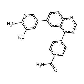 NC(=O)c1ccc(-c2ncnc3ccc(-c4cnc(N)c(C(F)(F)F)c4)cc23)cc1